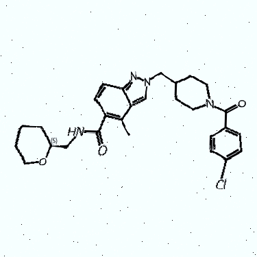 Cc1c(C(=O)NC[C@@H]2CCCCO2)ccc2nn(CC3CCN(C(=O)c4ccc(Cl)cc4)CC3)cc12